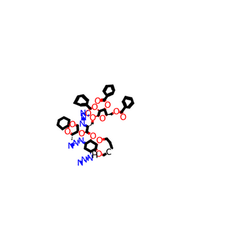 C[C@@H]1OC2(CCCCC2)OCC1O[C@H](O[C@@H]1C(N=[N+]=[N-])C[C@@H](N=[N+]=[N-])[C@H]2OCCCCCOC12)[C@@H](CO[C@@H]1O[C@H](COC(=O)c2ccccc2)C(OC(=O)c2ccccc2)[C@@H]1OC(=O)c1ccccc1)N=[N+]=[N-]